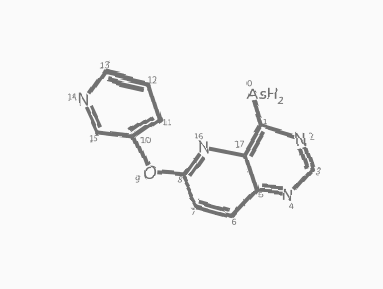 [AsH2]c1ncnc2ccc(Oc3cccnc3)nc12